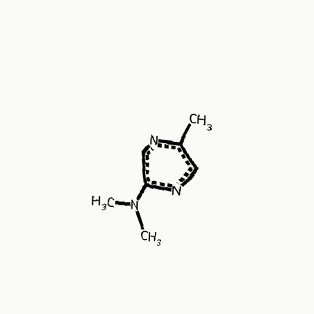 Cc1cnc(N(C)C)cn1